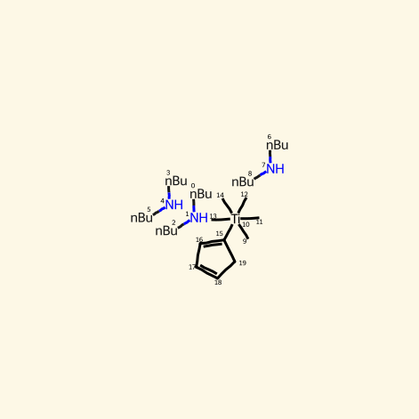 CCCCNCCCC.CCCCNCCCC.CCCCNCCCC.[CH3][Ti]([CH3])([CH3])([CH3])([CH3])[C]1=CC=CC1